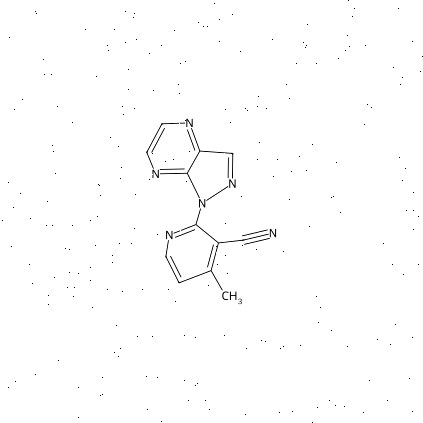 Cc1ccnc(-n2ncc3nccnc32)c1C#N